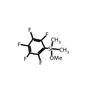 CO[Si](C)(C)c1c(F)c(F)c(F)c(F)c1F